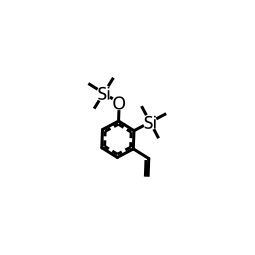 C=Cc1cccc(O[Si](C)(C)C)c1[Si](C)(C)C